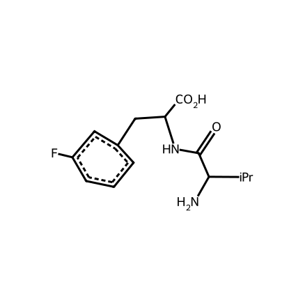 CC(C)C(N)C(=O)NC(Cc1cccc(F)c1)C(=O)O